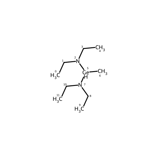 CC[N](CC)[GeH]([CH3])[N](CC)CC